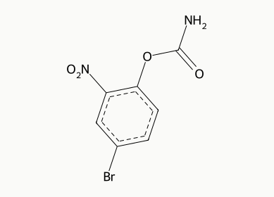 NC(=O)Oc1ccc(Br)cc1[N+](=O)[O-]